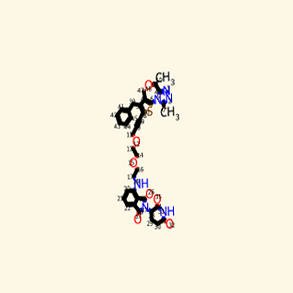 Cc1nnc2n1-c1sc(C#CCOCCOCCNc3cccc4c3C(=O)N(C3CCC(=O)NC3=O)C4=O)c(Cc3ccccc3)c1CO[C@H]2C